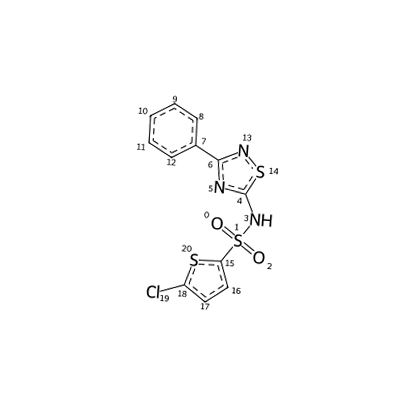 O=S(=O)(Nc1nc(-c2ccccc2)ns1)c1ccc(Cl)s1